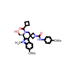 COc1ccc(NC(=O)N2CC3(C2)CN(C(=O)C2CCC2)[C@H](CO)c2c3c3ccc(OC)cc3n2C)cc1